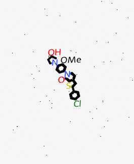 COc1cc(-n2ccc3cc(-c4ccc(Cl)cc4)sc3c2=O)ccc1N1CC[C@H](O)C1